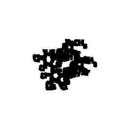 Cc1noc(NS(=O)(=O)c2ccc(Cl)c(Cl)c2Cl)c1Br.Cc1noc(NS(=O)(=O)c2ccc(Cl)c(Cl)c2Cl)c1Br